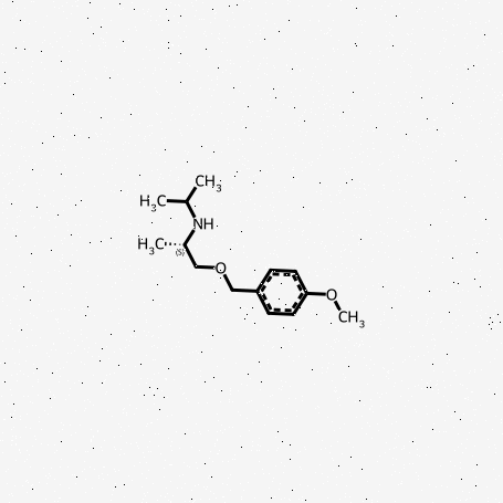 COc1ccc(COC[C@H](C)NC(C)C)cc1